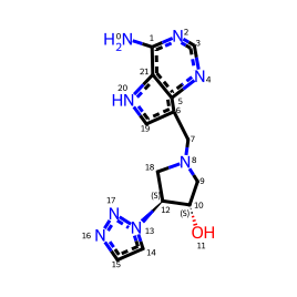 Nc1ncnc2c(CN3C[C@H](O)[C@@H](n4ccnn4)C3)c[nH]c12